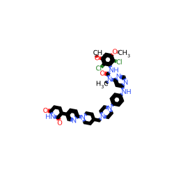 COc1cc(OC)c(Cl)c(NC(=O)N(C)c2cc(Nc3ccc(N4CCN(CC5CCN(c6ccc(C7CCC(=O)NC7=O)cn6)CC5)CC4)cc3)ncn2)c1Cl